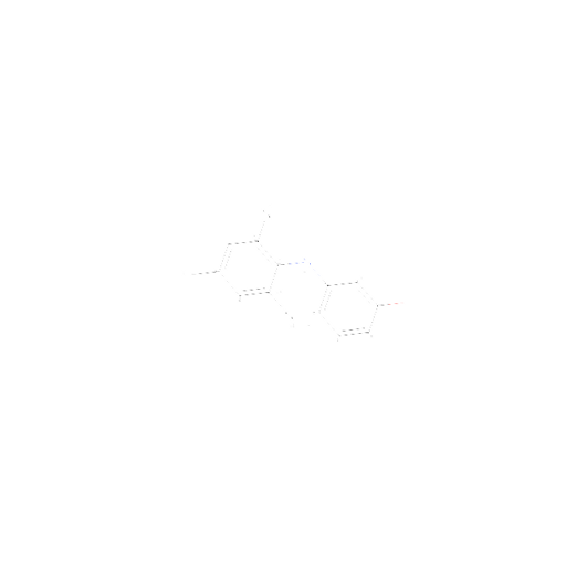 CC(C)(C)c1cc([N+](=O)[O-])c(Nc2cccc(O)c2)c([N+](=O)[O-])c1